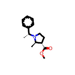 COC(=O)[C@H]1CCN([C@H](C)c2ccccc2)[C@@H]1C